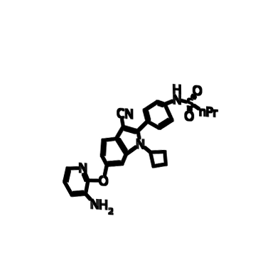 CCCS(=O)(=O)Nc1ccc(-c2c(C#N)c3ccc(Oc4ncccc4N)cc3n2C2CCC2)cc1